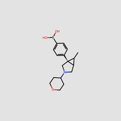 CC1C2CN(C3CCOCC3)C[C@]12c1ccc(B(O)O)cc1